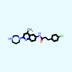 Cc1cc(N2CCCNCC2)nc2ccc(NC(=O)CCc3ccc(Cl)cc3)cc12